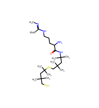 C/N=C(\NC)NCCCC(N)C(=O)NC(C)(C)CC(C)(C)CSC(C)(C)CC(C)(C)CS